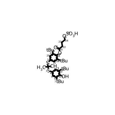 CC(C)(Sc1cc(C(C)(C)C)c(O)c(C(C)(C)C)c1)Sc1cc(C(C)(C)C)c(OC(=O)CCCOS(=O)(=O)O)c(C(C)(C)C)c1